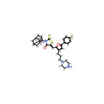 O=C1/C(=C/c2oc(-c3ccc(F)cc3)cc2CCCN2CCNCC2)SC(=S)N1C1C2CC3CC(C2)CC1C3